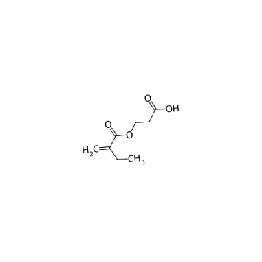 C=C(CC)C(=O)OCCC(=O)O